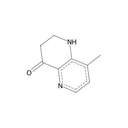 Cc1ccnc2c1NCCC2=O